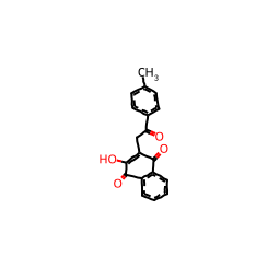 Cc1ccc(C(=O)CC2=C(O)C(=O)c3ccccc3C2=O)cc1